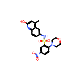 Cc1cc(O)nc2ccc(NS(=O)(=O)c3cc([N+](=O)[O-])ccc3N3CCOCC3)cc12